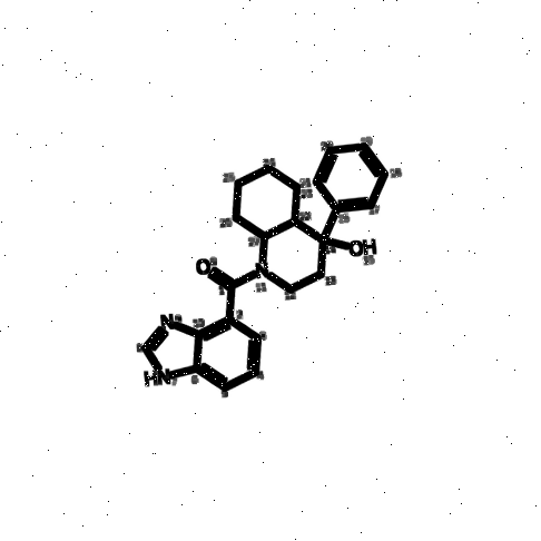 O=C(c1cccc2[nH]cnc12)N1CCC(O)(c2ccccc2)C2CCCCC21